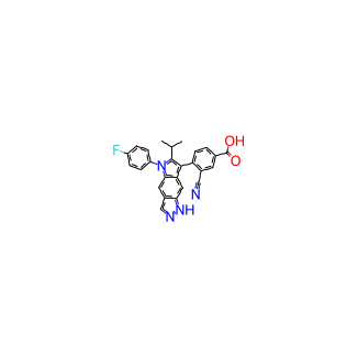 CC(C)c1c(-c2ccc(C(=O)O)cc2C#N)c2cc3[nH]ncc3cc2n1-c1ccc(F)cc1